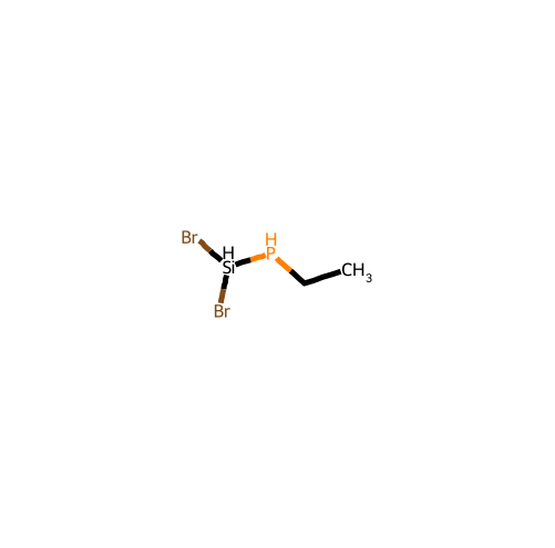 CCP[SiH](Br)Br